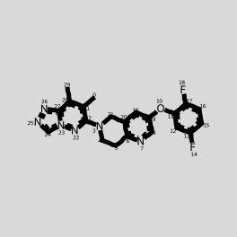 Cc1c(N2CCc3ncc(Oc4cc(F)ccc4F)cc3C2)nn2cnnc2c1C